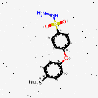 NNS(=O)(=O)c1ccc(Oc2ccc(S(=O)(=O)O)cc2)cc1